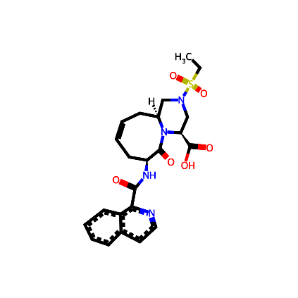 CCS(=O)(=O)N1C[C@@H]2CC=CC[C@H](NC(=O)c3nccc4ccccc34)C(=O)N2[C@H](C(=O)O)C1